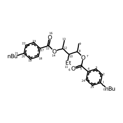 CCCCc1ccc(C(=O)OC(C)C(CC)C(C)OC(=O)c2ccc(CCCC)cc2)cc1